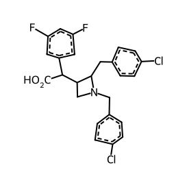 O=C(O)C(c1cc(F)cc(F)c1)C1CN(Cc2ccc(Cl)cc2)C1Cc1ccc(Cl)cc1